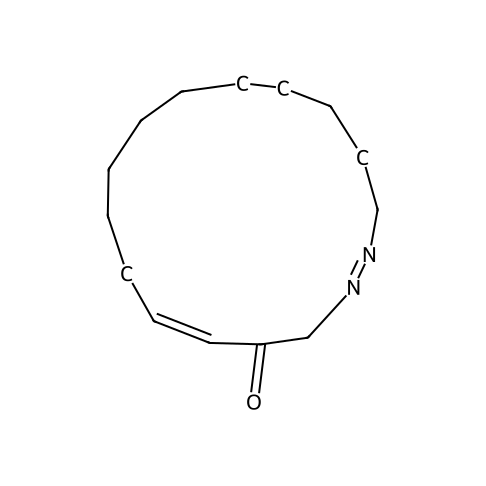 O=C1C=CCCCCCCCCCCN=NC1